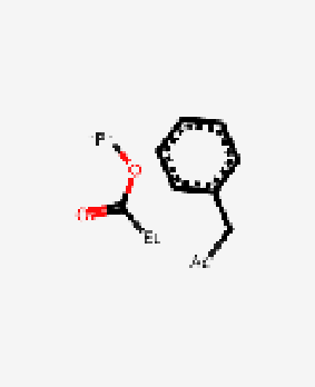 CC(=O)Cc1ccccc1.CCCOC(=O)CC